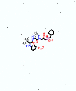 CC(C)[C@H](Nc1ccccc1)C(=O)N[C@@H](C)C(=O)NC[C@@H](O)CP(=O)(O)CC1CCCCC1.O